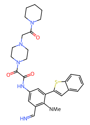 CNc1c(C=N)cc(NC(=O)C(=O)N2CCN(CC(=O)N3CCCCC3)CC2)cc1-c1cc2ccccc2s1